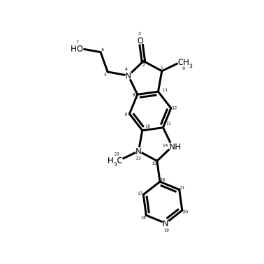 CC1C(=O)N(CCO)c2cc3c(cc21)NC(c1ccncc1)N3C